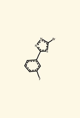 Fc1cccc(-c2nnc(Br)s2)c1